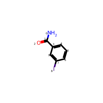 NC(=O)c1cccc(I)c1